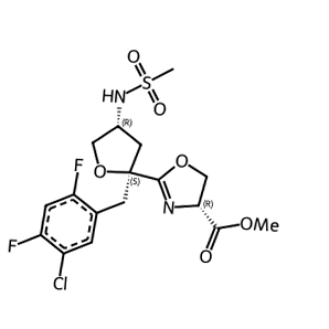 COC(=O)[C@H]1COC([C@]2(Cc3cc(Cl)c(F)cc3F)C[C@@H](NS(C)(=O)=O)CO2)=N1